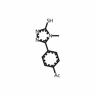 CC(=O)c1ccc(-c2nnc(S)n2C)cc1